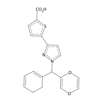 O=C(O)c1ccc(-c2ccn(C(C3=CC=CCC3)C3=COC=CO3)n2)s1